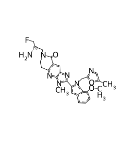 COc1cccc2cc(-c3nc4cc5c(nc4n3C)CCN(C[C@H](N)CF)C5=O)n(Cc3ncc(C)o3)c12